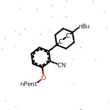 CCCCCOc1cccc(C23CCC(CCCC)(CC2)CC3)c1C#N